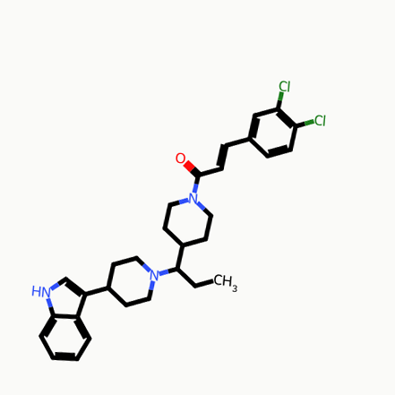 CCC(C1CCN(C(=O)C=Cc2ccc(Cl)c(Cl)c2)CC1)N1CCC(c2c[nH]c3ccccc23)CC1